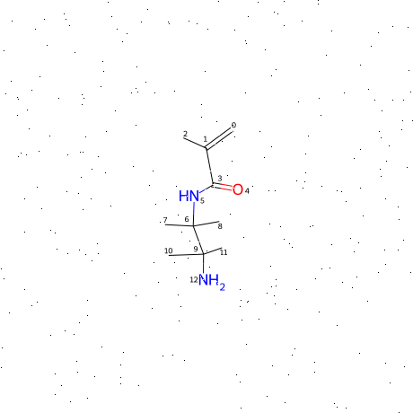 C=C(C)C(=O)NC(C)(C)C(C)(C)N